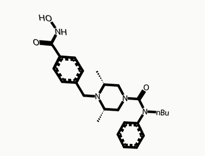 CCCCN(C(=O)N1C[C@@H](C)N(Cc2ccc(C(=O)NO)cc2)[C@@H](C)C1)c1ccccc1